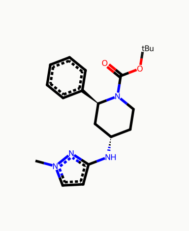 Cn1ccc(N[C@H]2CCN(C(=O)OC(C)(C)C)[C@H](c3ccccc3)C2)n1